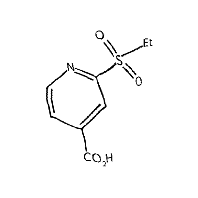 CCS(=O)(=O)c1cc(C(=O)O)ccn1